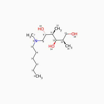 CCCCCCN(C)C[C@H](O)[C@@H](C)[C@H](O)[C@H](C)CO